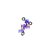 O=C(CNc1ccccc1)NNC(=O)c1cc(-c2ccccc2)nn1-c1ccccc1